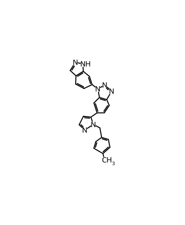 Cc1ccc(Cn2nccc2-c2ccc3nnn(-c4ccc5cn[nH]c5c4)c3c2)cc1